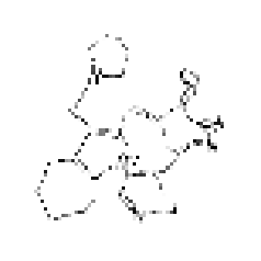 O=C1NN=C(c2ccno2)/C1=C\c1[nH]c2c(c1CN1CCCC1)CCCC2